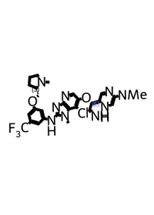 CNC1=CN/C(=C(\C=N)Oc2cnc3nc(Nc4cc(OC[C@@H]5CCCN5C)cc(C(F)(F)F)c4)n(C)c3c2Cl)C=N1